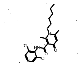 CCCCCCn1c(C)cc(=O)c(C(=O)Nc2c(Cl)cccc2Cl)c1C